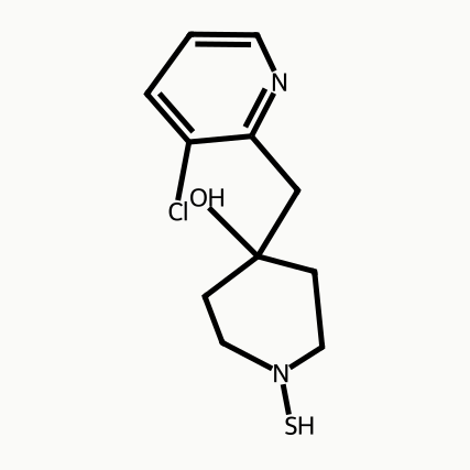 OC1(Cc2ncccc2Cl)CCN(S)CC1